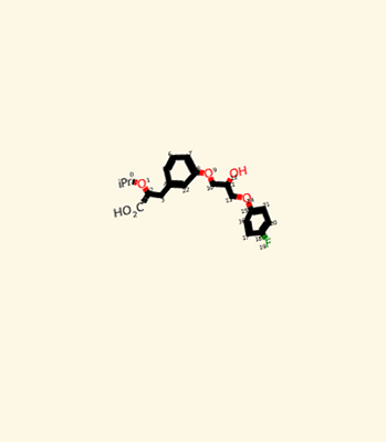 CC(C)OC(Cc1cccc(OCC(O)COc2ccc(F)cc2)c1)C(=O)O